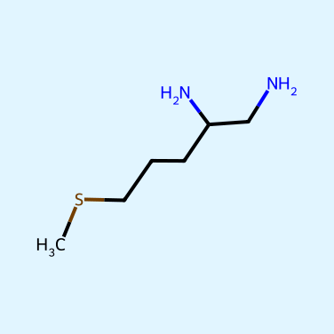 CSCCCC(N)CN